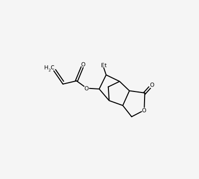 C=CC(=O)OC1C2CC(C1CC)C1C(=O)OCC21